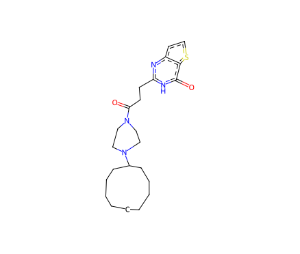 O=C(CCc1nc2ccsc2c(=O)[nH]1)N1CCN(C2CCCCCCCCC2)CC1